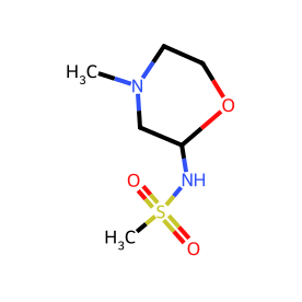 CN1CCOC(NS(C)(=O)=O)C1